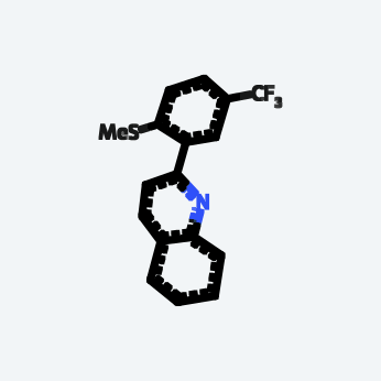 CSc1ccc(C(F)(F)F)cc1-c1ccc2ccccc2n1